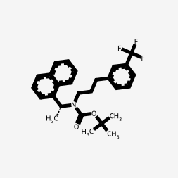 C[C@H](c1cccc2ccccc12)N(CCCc1cccc(C(F)(F)F)c1)C(=O)OC(C)(C)C